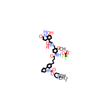 COc1cc(NC(=O)CCCc2ccc(-c3ccccc3)c(NC(=O)OC3CC[N+](C)(C)CC3)c2)ccc1CNC[C@H](O)c1ccc(O)c2[nH]c(=O)ccc12.O=C([O-])C(F)(F)F